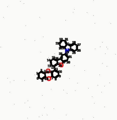 c1ccc2c(c1)Oc1cccc(-c3cccc4c3oc3ccc(-n5c6ccccc6c6ccccc65)cc34)c1O2